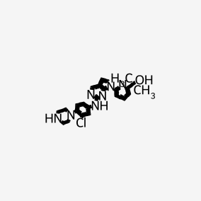 CC(C)(O)c1cccc(-n2ccc3cnc(Nc4ccc(N5CCNCC5)c(Cl)c4)nc32)n1